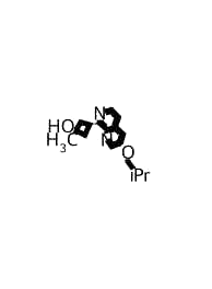 CC(C)CCOc1cnc2c(ccnc2[C@H]2C[C@](C)(O)C2)c1